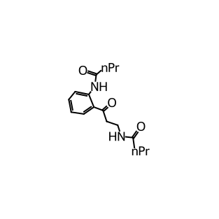 CCCC(=O)NCCC(=O)c1ccccc1NC(=O)CCC